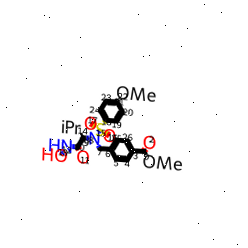 COC(=O)c1ccc(CN([C@@H](C(=O)NO)C(C)C)S(=O)(=O)c2ccc(OC)cc2)cc1